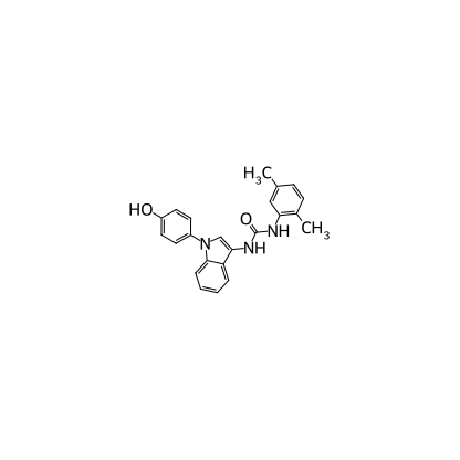 Cc1ccc(C)c(NC(=O)Nc2cn(-c3ccc(O)cc3)c3ccccc23)c1